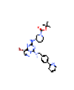 CC(C)(C)OC(=O)N1CCCC(Nc2nc(NCc3ccc(-c4ccccn4)cc3)n3ncc(Br)c3n2)C1